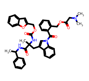 CC(NC(=O)C(C)(Cc1cn(C(=O)c2ccccc2COC(=O)CN(C)C)c2ccccc12)NC(=O)OCc1cc2ccccc2o1)c1ccccc1